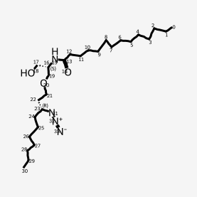 CCCCCCCCCCCCCC(=O)N[C@@H](CO)COCC[C@@H](CCCCCCC)N=[N+]=[N-]